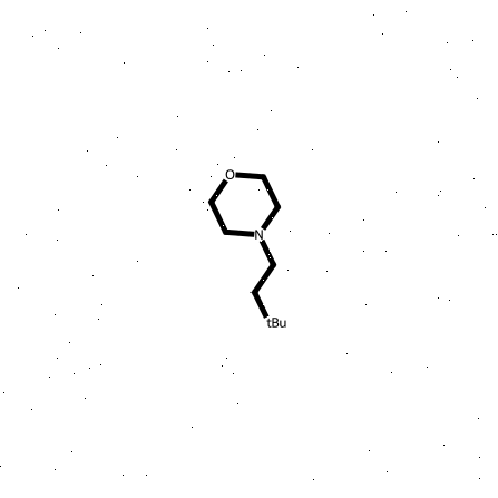 CC(C)(C)[CH]CN1CCOCC1